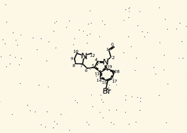 C=CCn1cc(CC2CCCN2C)c2cc(Br)ccc21